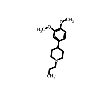 [CH2]CCN1CCC(c2ccc(OC)c(OC)c2)CC1